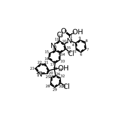 O=C(O)N(c1ccccc1)c1c(Cl)nc2ccc(C(O)(c3cccnc3)c3cccc(Cl)c3)cc2c1Cl